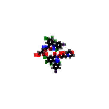 O=C(NOCC(O)CN1CCOCC1)c1cc(Br)c(F)c(F)c1Nc1ccc(I)cc1F.O=C(NOCC(O)CO)c1cc(Br)c(F)c(F)c1Nc1ccc(I)cc1F